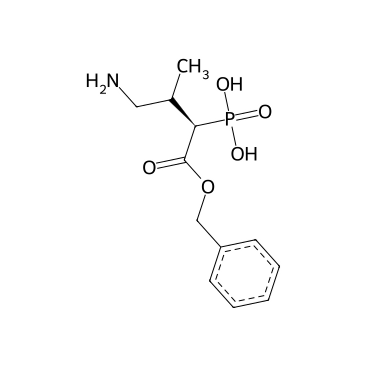 CC(CN)[C@H](C(=O)OCc1ccccc1)P(=O)(O)O